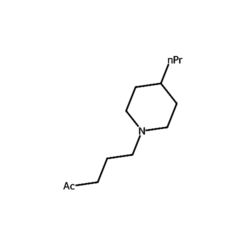 CCCC1CCN(CCCC(C)=O)CC1